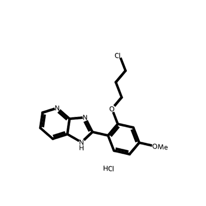 COc1ccc(-c2nc3ncccc3[nH]2)c(OCCCCl)c1.Cl